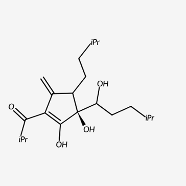 C=C1C(C(=O)C(C)C)=C(O)[C@@](O)(C(O)CCC(C)C)C1CCC(C)C